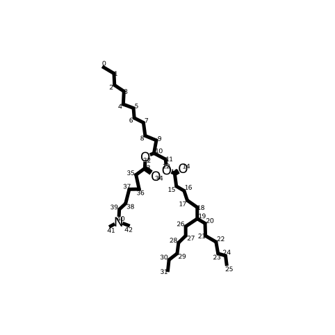 CCCCCCCCCCC(COC(=O)CCCCC(CCCCCC)CCCCCC)OC(=O)CCCCCN(C)C